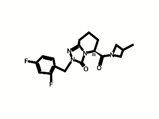 CC1CN(C(=O)[C@@H]2CCCc3nn(Cc4ccc(F)cc4F)c(=O)n32)C1